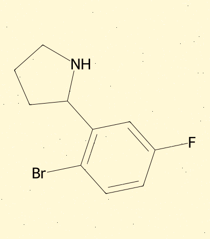 Fc1ccc(Br)c(C2CCCN2)c1